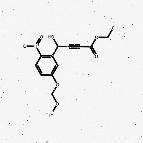 CCOC(=O)C#CC(O)c1cc(OCOC)ccc1[N+](=O)[O-]